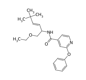 CCOCC(/C=C/C(C)(C)C)NC(=O)c1ccnc(Oc2ccccc2)c1